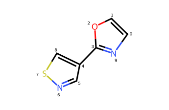 c1coc(-c2cnsc2)n1